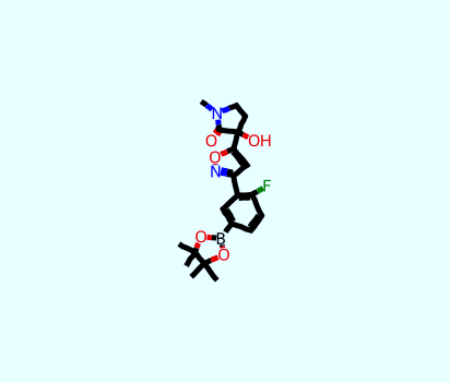 CN1CCC(O)(c2cc(-c3cc(B4OC(C)(C)C(C)(C)O4)ccc3F)no2)C1=O